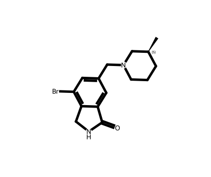 C[C@H]1CCCN(Cc2cc(Br)c3c(c2)C(=O)NC3)C1